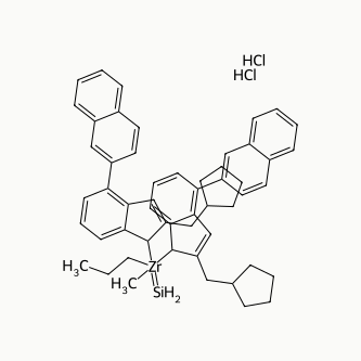 CC[CH2][Zr]([CH3])(=[SiH2])([CH]1C(CC2CCCC2)=Cc2c(-c3ccc4ccccc4c3)cccc21)[CH]1C(CC2CCCC2)=Cc2c(-c3ccc4ccccc4c3)cccc21.Cl.Cl